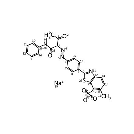 CC(=O)C(N=Nc1ccc(-c2nc3ccc(C)c(S(=O)(=O)[O-])c3s2)cc1)C(=O)Nc1ccccc1.[Na+]